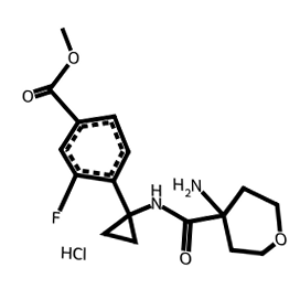 COC(=O)c1ccc(C2(NC(=O)C3(N)CCOCC3)CC2)c(F)c1.Cl